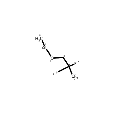 [CH3][Zn][O]CC(F)(F)C(F)(F)F